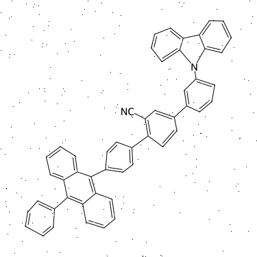 N#Cc1cc(-c2cccc(-n3c4ccccc4c4ccccc43)c2)ccc1-c1ccc(-c2c3ccccc3c(-c3ccccc3)c3ccccc23)cc1